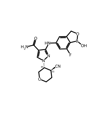 N#C[C@H]1CCOC[C@@H]1n1cc(C(N)=O)c(Nc2cc(F)c3c(c2)COB3O)n1